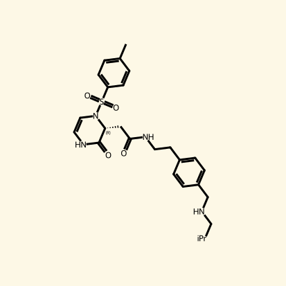 Cc1ccc(S(=O)(=O)N2C=CNC(=O)[C@H]2CC(=O)NCCc2ccc(CNCC(C)C)cc2)cc1